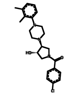 Cc1cccc(N2CCN([C@H]3CN(C(=O)c4ccc(Cl)cc4)C[C@@H]3O)CC2)c1C